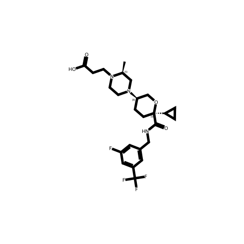 C[C@H]1CN([C@@H]2CC[C@@](C(=O)NCc3cc(F)cc(C(F)(F)F)c3)(C3CC3)OC2)CCN1CCC(=O)O